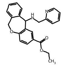 CCOC(=O)c1ccc2c(c1)C(NCc1ccccn1)c1ccccc1CO2